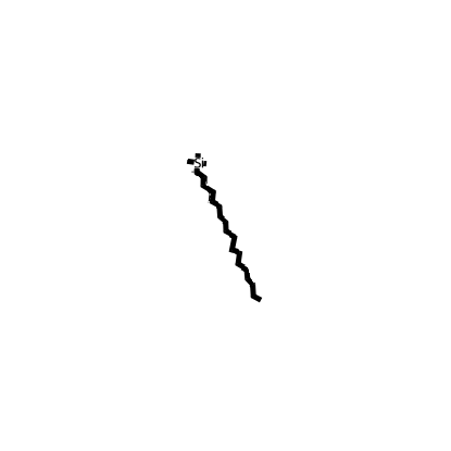 CCCCCCCCCCCCCCCCC[CH][Si](C)(C)C